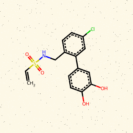 C=CS(=O)(=O)NCc1ccc(Cl)cc1-c1ccc(O)c(O)c1